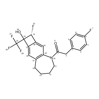 O=C(Cc1ccc(F)cc1)N1CCCCc2cc3c(cc21)[C@@H](F)C3(O)C(F)(F)F